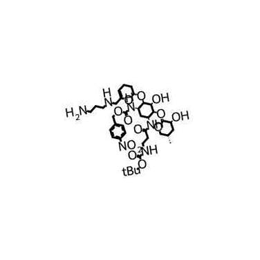 C[C@@H]1CO[C@H](O[C@@H]2[C@@H](O)[C@H](O[C@@H]3CCC=C(CNCCCN)O3)[C@@H](NC(=O)OCc3ccc([N+](=O)[O-])cc3)C[C@H]2NC(=O)CCNC(=O)OC(C)(C)C)[C@H](O)C1